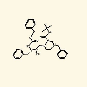 CC(C)(C)NC(=O)[C@@H]1C[C@H](Cc2ccccc2)CCN1C[C@@H](O)[C@H](Cc1ccccc1)NC(=O)OCc1ccccc1